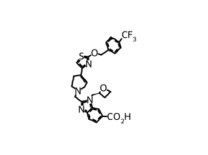 O=C(O)c1ccc2nc(CN3CC=C(c4csc(OCc5ccc(C(F)(F)F)cc5)n4)CC3)n(C[C@@H]3CCO3)c2c1